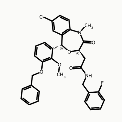 COc1c(OCc2ccccc2)cccc1[C@H]1O[C@H](CC(=O)NCc2ccccc2F)C(=O)N(C)c2ccc(Cl)cc21